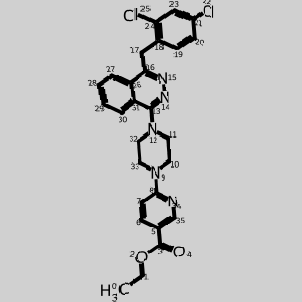 CCOC(=O)c1ccc(N2CCN(c3nnc(Cc4ccc(Cl)cc4Cl)c4ccccc34)CC2)nc1